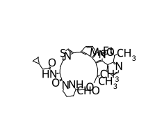 CCn1c(-c2cccnc2[C@H](C)OC)c2c3cc(ccc31)-c1csc(n1)C[C@H](NC(=O)CC1CC1)C(=O)N1CCC[C@](C=O)(COCC(C)(C)C2)N1